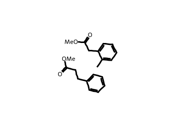 COC(=O)CCc1ccccc1.COC(=O)Cc1ccccc1C